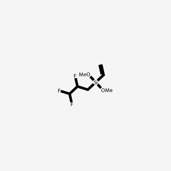 C=C[Si](CC(F)C(F)F)(OC)OC